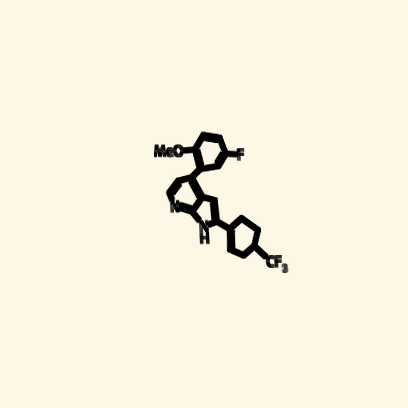 COc1ccc(F)cc1-c1ccnc2[nH]c(C3=CCC(C(F)(F)F)CC3)cc12